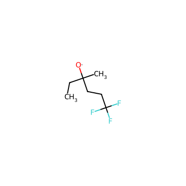 CCC(C)([O])CCC(F)(F)F